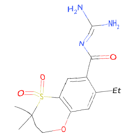 CCc1cc2c(cc1C(=O)N=C(N)N)S(=O)(=O)C(C)(C)CO2